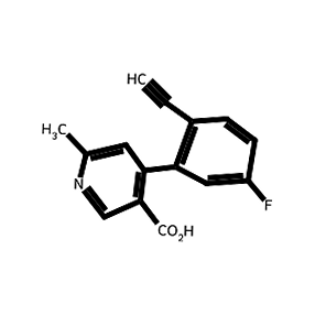 C#Cc1ccc(F)cc1-c1cc(C)ncc1C(=O)O